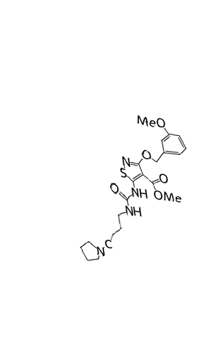 COC(=O)c1c(OCc2cccc(OC)c2)nsc1NC(=O)NCCCCN1CCCC1